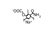 NC(=O)c1c(I)cc(I)c(OCC(=O)[O-])c1I.[Na+]